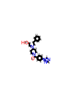 O=C(c1ccc(-n2cncn2)cc1)N1CCC(N(CCO)CCc2ccccc2)CC1